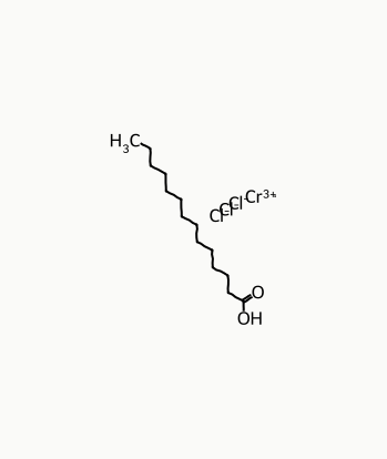 CCCCCCCCCCCCCC(=O)O.[Cl-].[Cl-].[Cl-].[Cr+3]